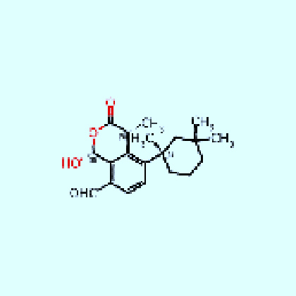 C[C@H]1C(=O)O[C@@H](O)c2c(C=O)ccc([C@@]3(C)CCCC(C)(C)C3)c21